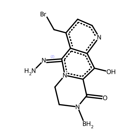 BN1CCn2c(c(O)c3nccc(CBr)c3/c2=N/N)C1=O